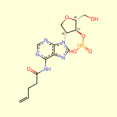 C=CCCC(=O)Nc1ncnc2c1ncn2[C@@H]1CO[C@H](CO)[C@H]1O[PH](=O)O